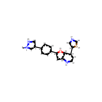 Cn1cc(-c2ccc(-c3cc4nccc(-c5cncs5)c4o3)cc2)cn1